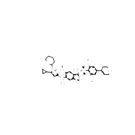 COc1cc2c(NS(=O)(=O)c3c(OC)cc(C4=CCOCC4)cc3OC)noc2cc1Nc1cc(C2CC2)n(C2CCCCO2)n1